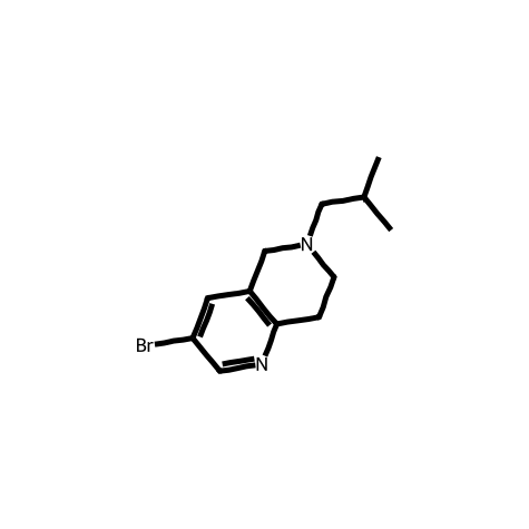 C[C](C)CN1CCc2ncc(Br)cc2C1